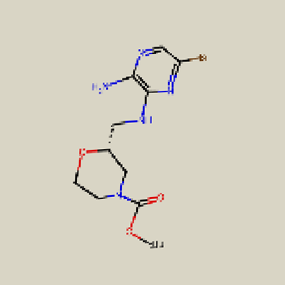 CC(C)(C)OC(=O)N1CCO[C@H](CNc2nc(Br)cnc2N)C1